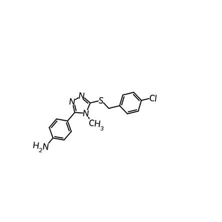 Cn1c(SCc2ccc(Cl)cc2)nnc1-c1ccc(N)cc1